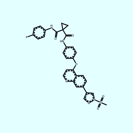 CS(=O)(=O)n1cc(-c2ccc3c(Oc4ccc(NC(=O)C5(C(=O)Nc6ccc(F)cc6)CC5)cc4)ccnc3c2)cn1